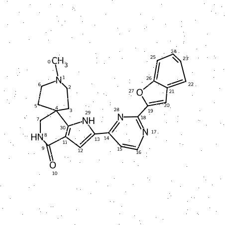 CN1CCC2(CC1)CNC(=O)c1cc(-c3ccnc(-c4cc5ccccc5o4)n3)[nH]c12